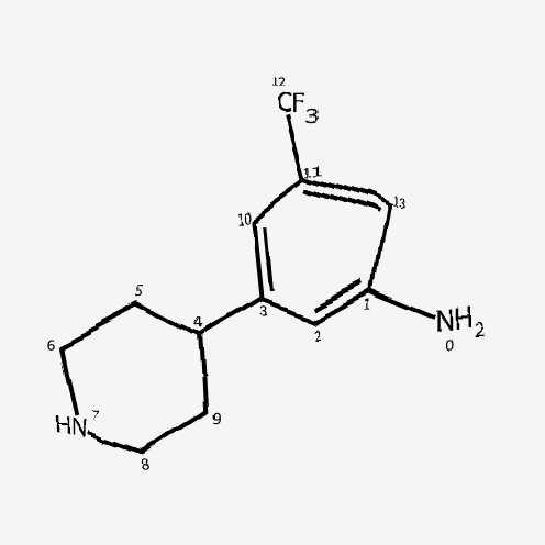 Nc1cc(C2CCNCC2)cc(C(F)(F)F)c1